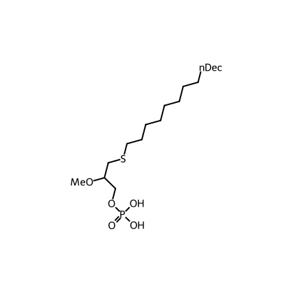 CCCCCCCCCCCCCCCCCCSCC(COP(=O)(O)O)OC